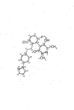 Cc1nn(C)c(=O)c(-c2c(F)ccc(Cl)c2CCc2ccc(-n3cccn3)cc2)c1O